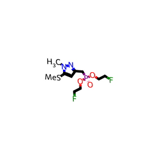 CSc1cc(CP(=O)(OCCF)OCCF)nn1C